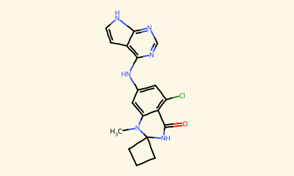 CN1c2cc(Nc3ncnc4[nH]ccc34)cc(Cl)c2C(=O)NC12CCC2